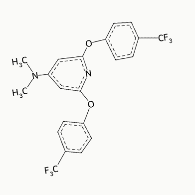 CN(C)c1cc(Oc2ccc(C(F)(F)F)cc2)nc(Oc2ccc(C(F)(F)F)cc2)c1